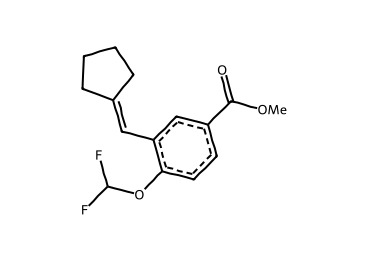 COC(=O)c1ccc(OC(F)F)c(C=C2CCCC2)c1